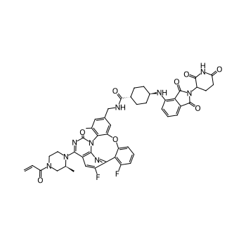 C=CC(=O)N1CCN(c2nc(=O)n3c4nc(c(F)cc24)c2c(F)cccc2oc2cc(CNC(=O)[C@H]4CC[C@H](Nc5cccc6c5C(=O)N(C5CCC(=O)NC5=O)C6=O)CC4)cc(C)c23)[C@@H](C)C1